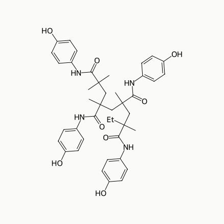 CCC(C)(CC(C)(CC(C)(CC(C)(C)C(=O)Nc1ccc(O)cc1)C(=O)Nc1ccc(O)cc1)C(=O)Nc1ccc(O)cc1)C(=O)Nc1ccc(O)cc1